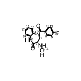 Cl.N[C@H]1CN(C(=O)c2ccc(F)cc2)c2ccccc2NC1=O